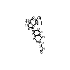 O=CCC[C@@H]1CCc2cc([C@@H]3CC[C@@H]4COC(=O)NC43)ccc2C1